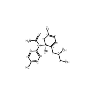 N#Cc1cnc(N(C(N)=O)[C@@]2(O)CC(Cl)=CC=C2C[C@@H](O)CO)cn1